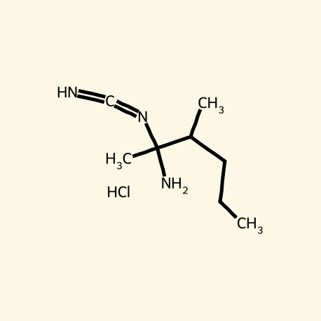 CCCC(C)C(C)(N)N=C=N.Cl